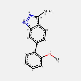 CCOc1ccccc1-c1ccc2c(NC(C)=O)n[nH]c2c1